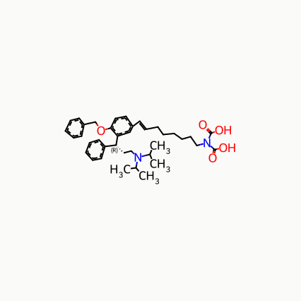 CC(C)N(CC[C@H](c1ccccc1)c1cc(C=CCCCCCCN(C(=O)O)C(=O)O)ccc1OCc1ccccc1)C(C)C